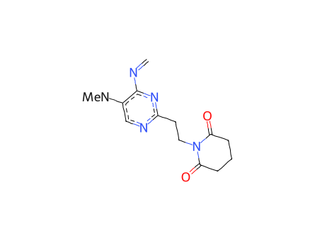 C=Nc1nc(CCN2C(=O)CCCC2=O)ncc1NC